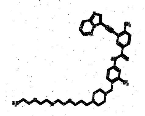 Cc1ccc(C(=O)Nc2ccc(CN3CCN(CCCOCCOCCOCCN)CC3)c(C(F)(F)F)c2)cc1C#Cc1cnc2cccnn12